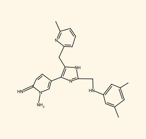 Cc1cc(C)cc(NCc2nc(-c3ccc(=N)n(N)c3)c(Cc3cccc(C)n3)[nH]2)c1